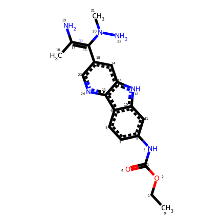 CCOC(=O)Nc1ccc2c(c1)[nH]c1cc(/C(=C(\C)N)N(C)N)cnc12